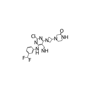 N=Cc1c(Nc2cccc(C(F)F)c2)nc(Cl)nc1N1CC(N2CCNC(=O)C2)C1